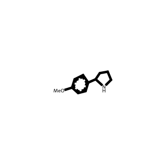 COc1ccc(C2CCCN2)cc1